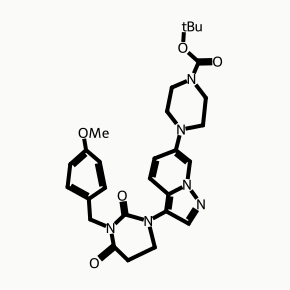 COc1ccc(CN2C(=O)CCN(c3cnn4cc(N5CCN(C(=O)OC(C)(C)C)CC5)ccc34)C2=O)cc1